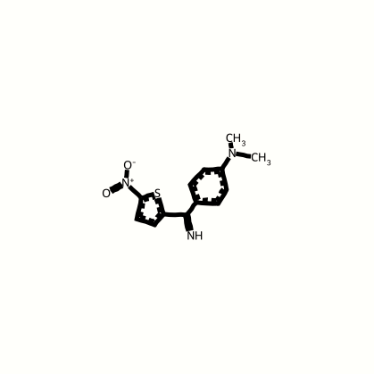 CN(C)c1ccc(C(=N)c2ccc([N+](=O)[O-])s2)cc1